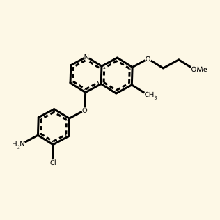 COCCOc1cc2nccc(Oc3ccc(N)c(Cl)c3)c2cc1C